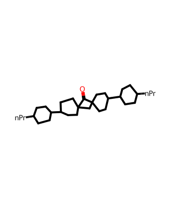 CCCC1CCC(C2CCC3(CC2)CC2(CCC(C4CCC(CCC)CC4)CC2)C3=O)CC1